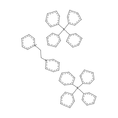 c1cc[n+](CC[n+]2ccccc2)cc1.c1ccc([B-](c2ccccc2)(c2ccccc2)c2ccccc2)cc1.c1ccc([B-](c2ccccc2)(c2ccccc2)c2ccccc2)cc1